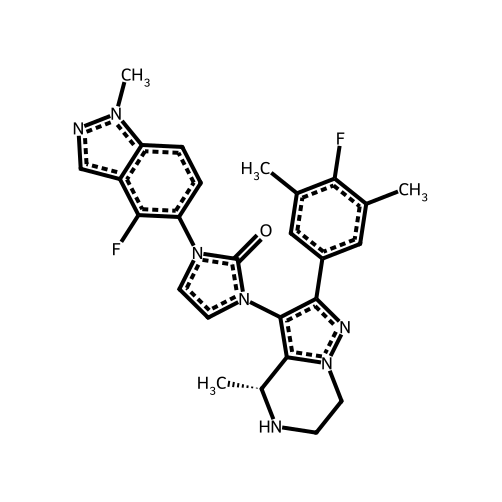 Cc1cc(-c2nn3c(c2-n2ccn(-c4ccc5c(cnn5C)c4F)c2=O)[C@@H](C)NCC3)cc(C)c1F